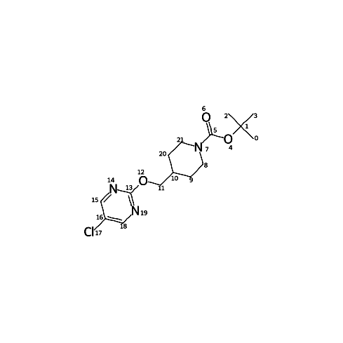 CC(C)(C)OC(=O)N1CCC(COc2ncc(Cl)cn2)CC1